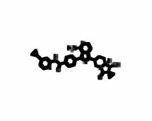 Nc1nccn2c(C3CC[C@H]4C(O)C5(CC5)C(=O)N4C3)nc(-c3ccc(C(=O)Nc4cc(C5CC5)ccn4)cc3)c12